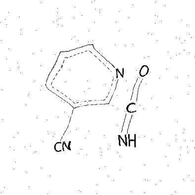 N#Cc1cccnc1.N=C=O